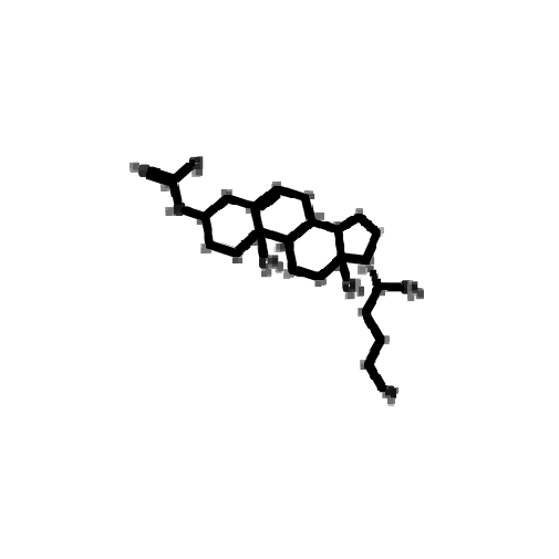 CC(C)CCCC(C)[C@H]1CCC2C3CC=C4CC(OC(=O)Cl)CCC4(C)C3CCC21C